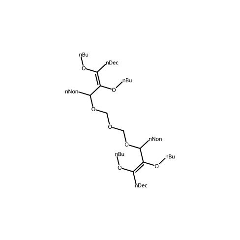 CCCCCCCCCCC(OCCCC)=C(OCCCC)C(CCCCCCCCC)OCOCOC(CCCCCCCCC)C(OCCCC)=C(CCCCCCCCCC)OCCCC